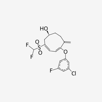 C=C1CC[C@H](O)C/C(S(=O)(=O)C(F)F)=C\C=C/1Oc1cc(F)cc(Cl)c1